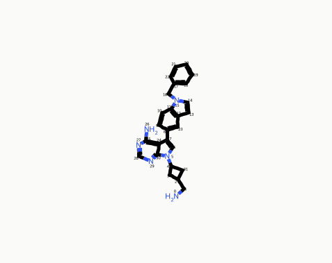 NCC1CC(n2cc(-c3ccc4c(ccn4Cc4ccccc4)c3)c3c(N)ncnc32)C1